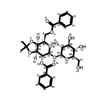 CC1(C)O[C@H]2[C@@H](O1)[C@@H](COC(=O)c1ccccc1)O[C@@H](O[C@@H]1O[C@H](CO)[C@@H](O)[C@H](O)[C@H]1O)[C@@H]2OC(=O)c1ccccc1